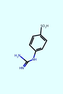 N=C(N)Nc1ccc(S(=O)(=O)O)cc1